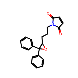 O=C1C=CC(=O)N1CCCC1OC1(c1ccccc1)c1ccccc1